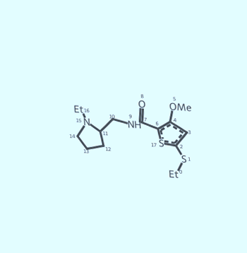 CCSc1cc(OC)c(C(=O)NCC2CCCN2CC)s1